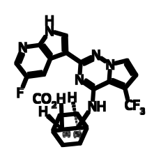 O=C(O)[C@H]1C2CCC(CC2)[C@@H]1Nc1nc(-c2c[nH]c3ncc(F)cc23)nn2ccc(C(F)(F)F)c12